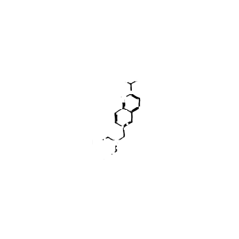 CCN(CC)Cc1ccc2nc(C(C)C)ccc2c1